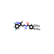 COc1ccc(C(=O)NCCc2c(C)[nH]c3c(F)cc(F)cc23)cc1OC